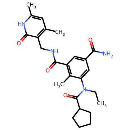 CCN(C(=O)C1CCCC1)c1cc(C(N)=O)cc(C(=O)NCc2c(C)cc(C)[nH]c2=O)c1C